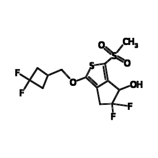 CS(=O)(=O)c1sc(OCC2CC(F)(F)C2)c2c1C(O)C(F)(F)C2